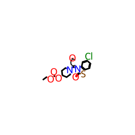 CCOC(=O)OC1CCN(C(=C=O)n2c(=O)sc3ccc(Cl)cc32)CC1